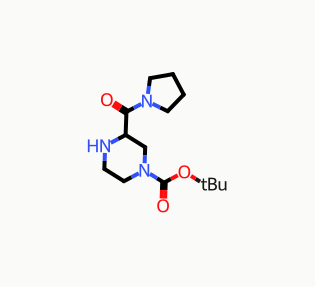 CC(C)(C)OC(=O)N1CCNC(C(=O)N2CCCC2)C1